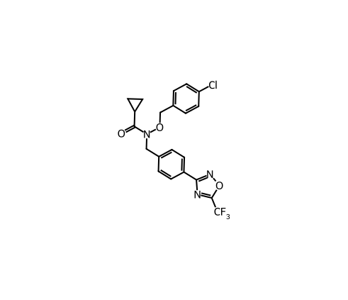 O=C(C1CC1)N(Cc1ccc(-c2noc(C(F)(F)F)n2)cc1)OCc1ccc(Cl)cc1